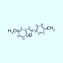 Cc1ccc(-c2cc3cc(C)ccc3o2)cc1